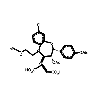 CCCNCCN1C(=O)[C@@H](OC(C)=O)[C@@H](c2ccc(OC)cc2)Sc2cc(Cl)ccc21.O=C(O)/C=C/C(=O)O